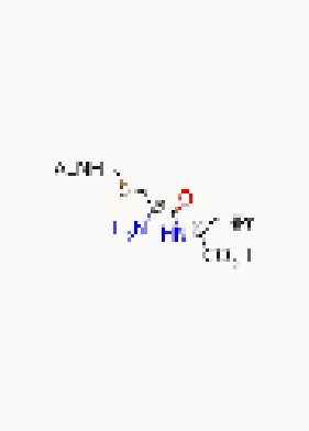 CC(=O)NCSC[C@H](N)C(=O)N[C@@H](CC(C)C)C(=O)O